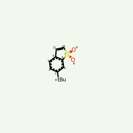 CC(C)(C)c1ccc2c(c1)S(=O)(=O)C=C2